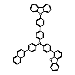 c1ccc2cc(-c3ccc(N(c4ccc(-c5ccc(-n6c7ccccc7c7ccccc76)cc5)cc4)c4ccc(-c5cccc6c5oc5ccccc56)cc4)cc3)ccc2c1